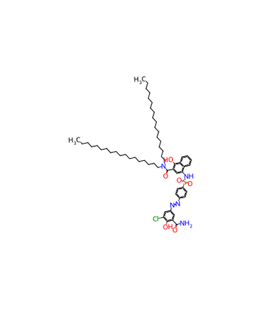 CCCCCCCCCCCCCCCCCCN(CCCCCCCCCCCCCCCCCC)C(=O)c1cc(NS(=O)(=O)c2ccc(N=Nc3cc(Cl)c(O)c(C(N)=O)c3)cc2)c2ccccc2c1O